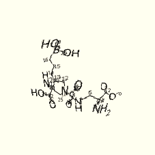 COC(=O)[C@@H](N)CNS(=O)(=O)N1C[C@H](CCCB(O)O)[C@](N)(C(=O)O)C1